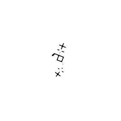 CC(C)(C)[Si](C)(C)O[C@H]1C[C@@]([C]=O)([Si](C)(C)C(C)(C)C)C1